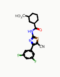 N#Cc1sc(NC(=O)C2CCCC(C(=O)O)C2)nc1-c1cc(F)cc(F)c1